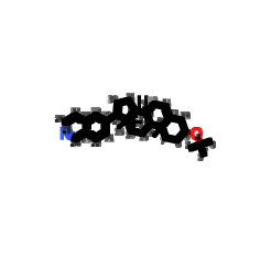 CC(C)(C)O[C@H]1CC[C@@]2(C)C(=CC[C@@H]3C2CC[C@]2(C)C(c4ccc5cnccc5c4)=CC[C@@H]32)C1